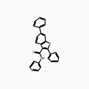 O=C(Nc1ccncc1)c1c(-c2ccccc2)sc2cc(-c3ccccc3)ccc12